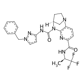 C[C@@H](NC(=O)c1ccc2c(n1)N(C(=O)Nc1ccn(Cc3ccccc3)n1)[C@H]1CCN2C1)C(F)(F)F